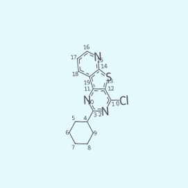 Clc1nc(C2CCCCC2)nc2c1sc1ncccc12